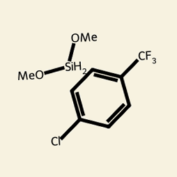 CO[SiH2]OC.FC(F)(F)c1ccc(Cl)cc1